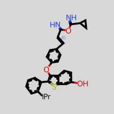 CC(C)c1ccccc1-c1sc2cc(O)ccc2c1Oc1ccc(/C=C/C(=N)OC(=N)C2CC2)cc1